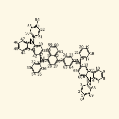 Cc1ccc(-n2c3ccccc3c3cc(N(c4ccccc4)c4ccc(-c5ccc(N(c6ccccc6)c6ccc7c(c6)c6ccccc6n7-c6ccc(C)cc6)c6ccccc56)cc4)ccc32)cc1